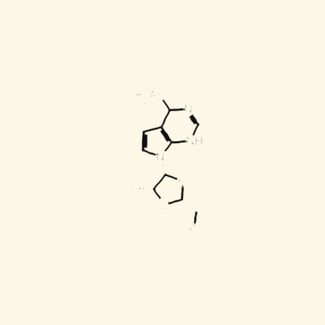 C[C@H]1S[C@@H](CO)O[C@H]1n1ccc2c1NC=NC2[AsH2]